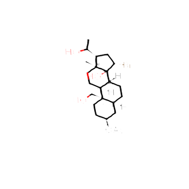 CC(=O)O[C@H]1CC[C@@]2(CO)[C@@H](CC[C@@H]3[C@@H]2CC[C@]2(C)[C@@H](C(C)O)C[C@H](Br)[C@]32O)C1